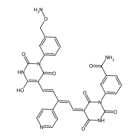 NOCc1cccc(-n2c(=O)[nH]c(O)c(C=CC(=CC=C3C(=O)NC(=O)N(c4cccc(C(N)=O)c4)C3=O)c3ccncc3)c2=O)c1